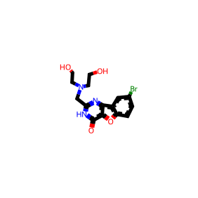 O=c1[nH]c(CN(CCO)CCO)nc2c1oc1ccc(Br)cc12